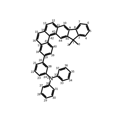 CC1(C)c2ccccc2-c2cc3ccc4ccc5cc(-c6cccc(N(c7ccccc7)c7ccccc7)c6)ccc5c4c3cc21